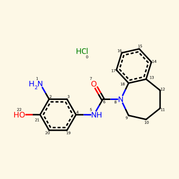 Cl.Nc1cc(NC(=O)N2CCCCc3ccccc32)ccc1O